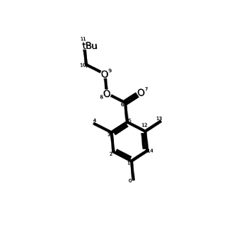 Cc1cc(C)c(C(=O)OO[CH]C(C)(C)C)c(C)c1